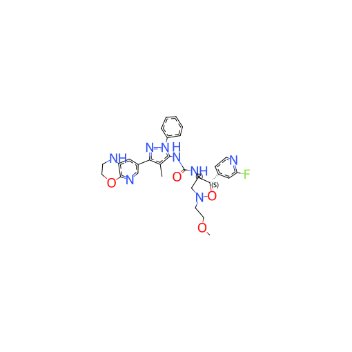 COCCN1C[C@@H](NC(=O)Nc2c(C)c(-c3cnc4c(c3)NCCO4)nn2-c2ccccc2)[C@H](c2ccnc(F)c2)O1